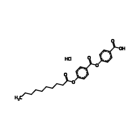 CCCCCCCCCC(=O)Oc1ccc(C(=O)Oc2ccc(C(=O)O)cc2)cc1.Cl